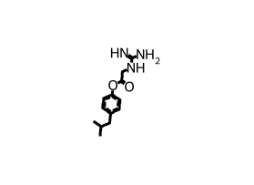 CC(C)Cc1ccc(OC(=O)CNC(=N)N)cc1